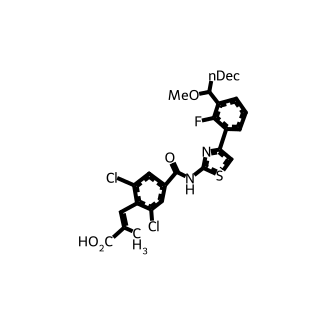 CCCCCCCCCCC(OC)c1cccc(-c2csc(NC(=O)c3cc(Cl)c(C=C(C)C(=O)O)c(Cl)c3)n2)c1F